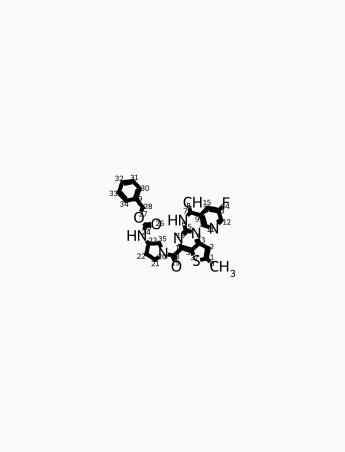 Cc1cc2nc(NC(C)c3cncc(F)c3)nc(C(=O)N3CCC(NC(=O)OCc4ccccc4)C3)c2s1